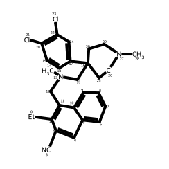 CCc1c(C#N)cc2ccccc2c1CN(C)CC1(c2ccc(Cl)c(Cl)c2)CCN(C)CC1